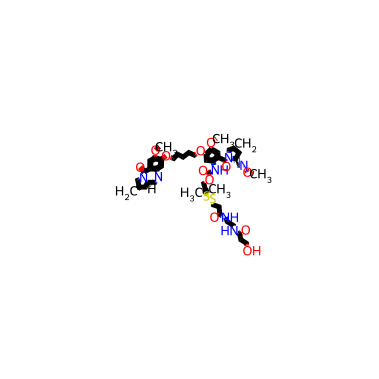 C=C1C[C@H]2C=Nc3cc(OCCCCCOc4cc(NC(=O)OCC(C)(C)SSCCC(=O)NCCNC(=O)CCO)c(C(=O)N5CC(=C)C[C@H]5/C=N/OC)cc4OC)c(OC)cc3C(=O)N2C1